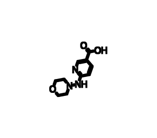 O=C(O)c1ccc(NN2CCOCC2)nc1